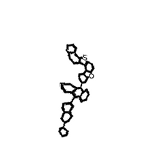 c1ccc(-c2ccc3cc(-c4c5ccccc5c(-c5ccc6c(c5)oc5ccc7sc8c9ccccc9ccc8c7c56)c5ccccc45)ccc3c2)cc1